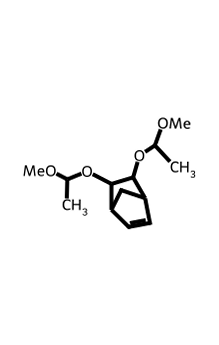 COC(C)OC1C2C=CC(C2)C1OC(C)OC